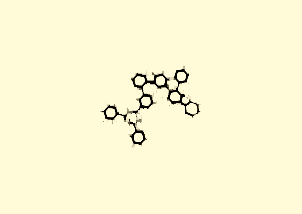 C1=Cc2c(sc3c(-c4ccccc4)c(-c4ccc5oc6cccc(-c7cccc(-c8nc(-c9ccccc9)nc(-c9ccccc9)n8)c7)c6c5c4)ccc23)CC1